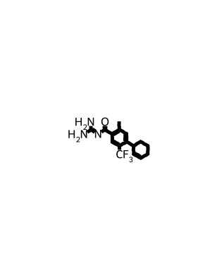 Cc1cc(C2C=CCCC2)c(C(F)(F)F)cc1C(=O)N=C(N)N